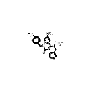 O=C(N=C(N(Cc1ccccc1)C(=O)O)n1cc([N+](=O)[O-])cn1)OCc1ccc([N+](=O)[O-])cc1